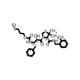 CCSCCCOC(=O)N[C@@H](Cc1ccccc1)[C@H](O)C(=O)N1CSC(C)(C)[C@H]1C(=O)NCc1ccccc1C